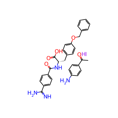 CC(=O)c1ccc(N)cc1.I.N=C(N)c1ccc(C(=O)N[C@@H](Cc2ccc(OCc3ccccc3)cc2)C(=O)O)cc1